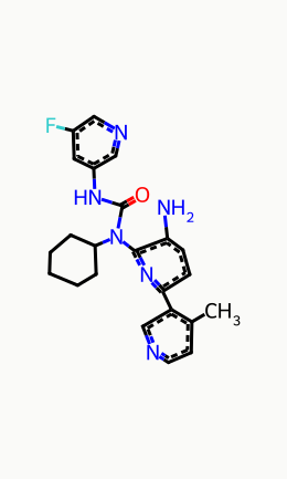 Cc1ccncc1-c1ccc(N)c(N(C(=O)Nc2cncc(F)c2)C2CCCCC2)n1